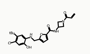 C=CC(=O)N1CC(NC(=O)c2ccc(CNc3cc(C(C)(C)C)c(Cl)cc3O)o2)C1